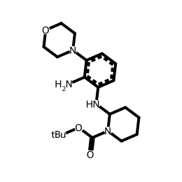 CC(C)(C)OC(=O)N1CCCCC1Nc1cccc(N2CCOCC2)c1N